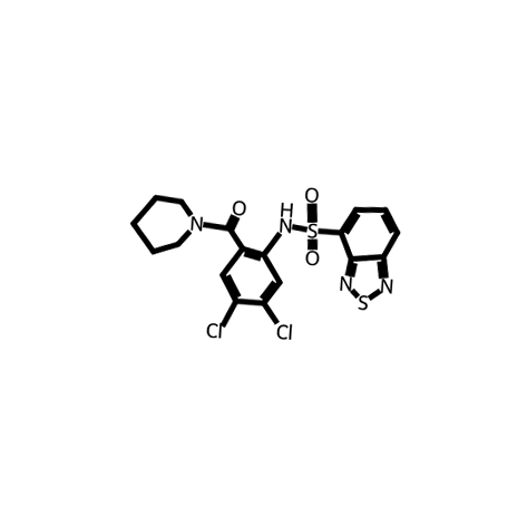 O=C(c1cc(Cl)c(Cl)cc1NS(=O)(=O)c1cccc2nsnc12)N1CCCCC1